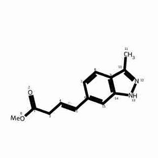 COC(=O)C/C=C/c1ccc2c(C)n[nH]c2c1